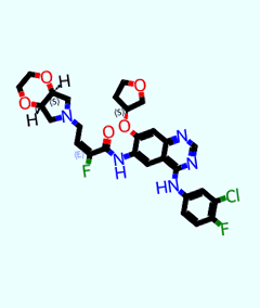 O=C(Nc1cc2c(Nc3ccc(F)c(Cl)c3)ncnc2cc1O[C@H]1CCOC1)/C(F)=C\CN1C[C@@H]2OCCO[C@@H]2C1